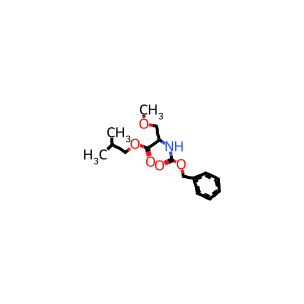 COCC(NC(=O)OCc1ccccc1)C(=O)OCC(C)C